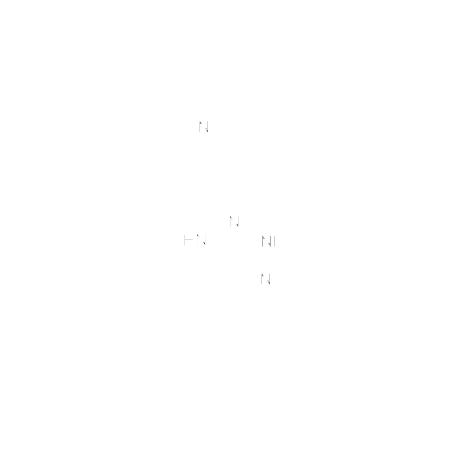 c1ccc(-c2cn(-c3ccccc3)[nH]n(-c3cccnc3)[nH]2)cc1